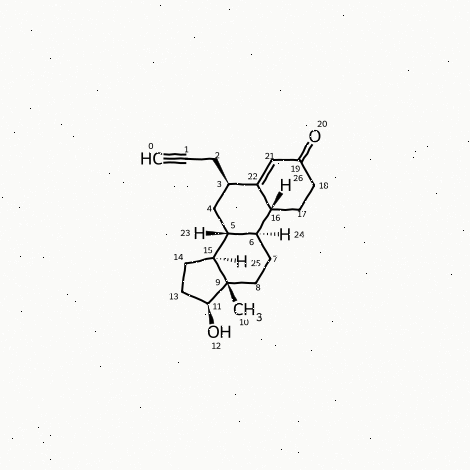 C#CC[C@@H]1C[C@@H]2[C@H](CC[C@]3(C)[C@@H](O)CC[C@@H]23)[C@H]2CCC(=O)C=C12